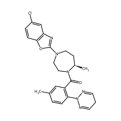 Cc1ccc(N2N=CCC=N2)c(C(=O)N2CCN(c3nc4cc(Cl)ccc4o3)CC[C@H]2C)c1